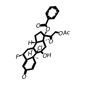 CC(=O)OCC(=O)[C@@]1(OC(=O)c2ccccc2)CC[C@H]2[C@@H]3C[C@H](F)C4=CC(=O)C=C[C@]4(C)[C@@]3(Cl)C(O)C[C@@]21C